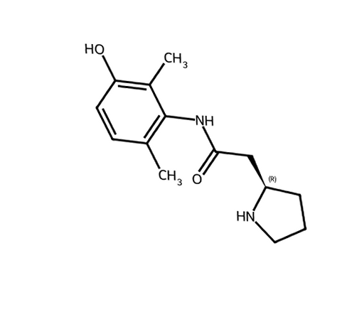 Cc1ccc(O)c(C)c1NC(=O)C[C@H]1CCCN1